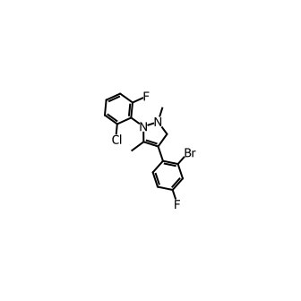 CC1=C(c2ccc(F)cc2Br)CN(C)N1c1c(F)cccc1Cl